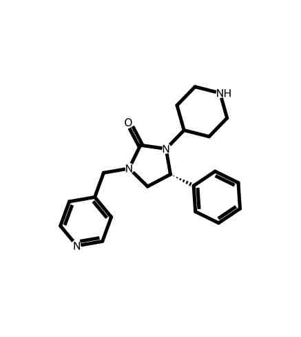 O=C1N(Cc2ccncc2)C[C@@H](c2ccccc2)N1C1CCNCC1